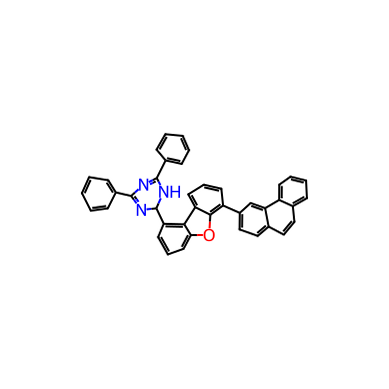 c1ccc(C2=NC(c3cccc4oc5c(-c6ccc7ccc8ccccc8c7c6)cccc5c34)NC(c3ccccc3)=N2)cc1